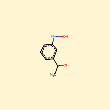 CC(O)c1cccc(NO)c1